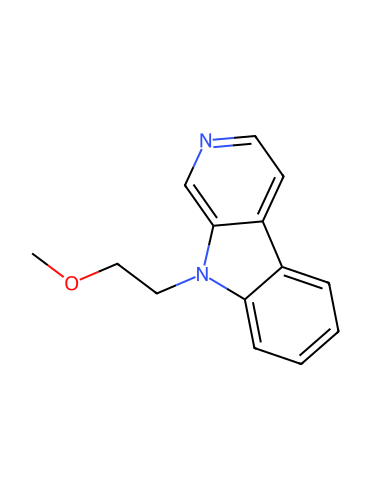 COCCn1c2ccccc2c2ccncc21